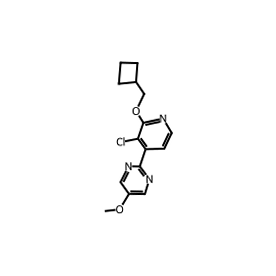 COc1cnc(-c2ccnc(OCC3CCC3)c2Cl)nc1